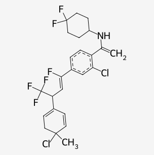 C=C(NC1CCC(F)(F)CC1)c1ccc(/C(F)=C/C(C2=CCC(C)(Cl)C=C2)C(F)(F)F)cc1Cl